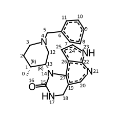 C[C@@H]1CCN(Cc2ccccc2)C[C@@H]1N1C(=O)NCc2cnc3[nH]ccc3c21